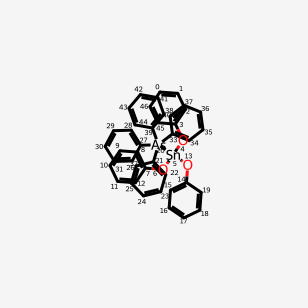 c1ccc([O][Sn]([O]c2ccccc2)([O]c2ccccc2)[As](c2ccccc2)(c2ccccc2)(c2ccccc2)c2ccccc2)cc1